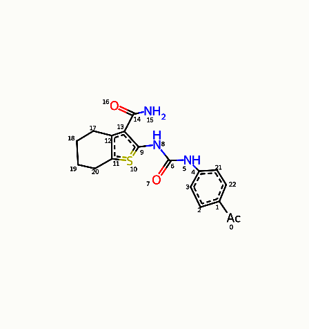 CC(=O)c1ccc(NC(=O)Nc2sc3c(c2C(N)=O)CCCC3)cc1